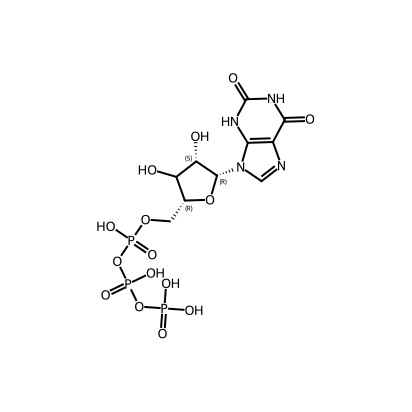 O=c1[nH]c(=O)c2ncn([C@@H]3O[C@H](COP(=O)(O)OP(=O)(O)OP(=O)(O)O)C(O)[C@@H]3O)c2[nH]1